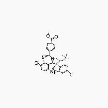 COC(=O)c1ccc(C(=O)N2C[C@@H](CC(C)(C)C)[C@](C#N)(c3ccc(Cl)cc3F)[C@H]2c2cccc(Cl)c2F)cc1